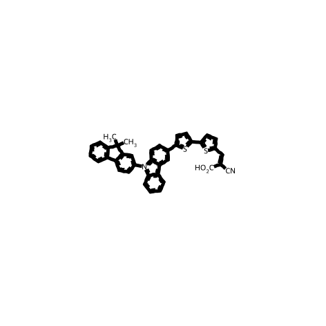 CC1(C)c2ccccc2-c2ccc(-n3c4ccccc4c4cc(-c5ccc(-c6ccc(C=C(C#N)C(=O)O)s6)s5)ccc43)cc21